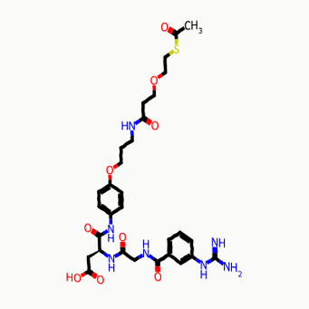 CC(=O)SCCOCCC(=O)NCCCOc1ccc(NC(=O)[C@H](CC(=O)O)NC(=O)CNC(=O)c2cccc(NC(=N)N)c2)cc1